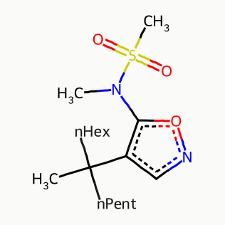 CCCCCCC(C)(CCCCC)c1cnoc1N(C)S(C)(=O)=O